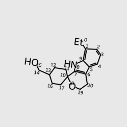 CCc1cccc2c3c([nH]c12)C1(CCC(CO)CC1)OCC3